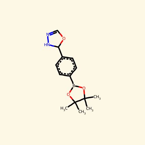 CC1(C)OB(c2ccc(C3NN=CO3)cc2)OC1(C)C